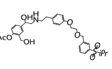 CC(=O)Oc1ccc([C@@H](O)CNCCc2ccc(OCCOCc3cccc(S(=O)(=O)C(C)C)c3)cc2)cc1CO